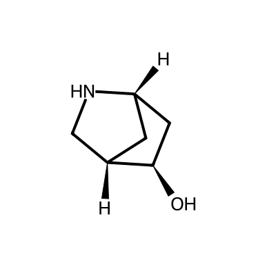 O[C@@H]1C[C@@H]2C[C@H]1CN2